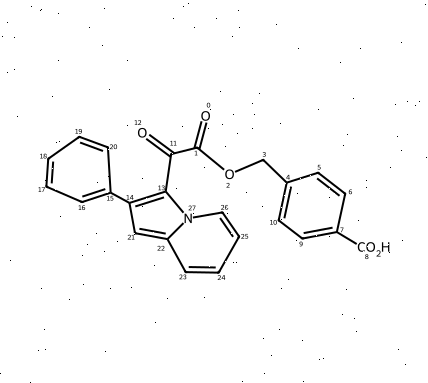 O=C(OCc1ccc(C(=O)O)cc1)C(=O)c1c(-c2ccccc2)cc2ccccn12